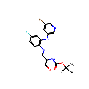 CC(C)(C)OC(=O)NC(C=O)CNc1ccc(F)cc1Nc1cncc(Br)c1